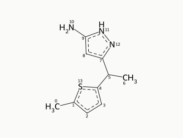 Cc1ccc(C(C)c2cc(N)[nH]n2)s1